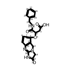 O=C(O)CC(Oc1cccc2c1CN1CC(=O)NC1=N2)C(=O)NCc1ccccc1